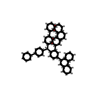 c1ccc(-c2ccc(N(c3ccc(-c4ccccc4)cc3)c3ccc(-c4cc5ccccc5c5ccccc45)cc3-c3ccc4c(ccc5ccccc54)c3)cc2)cc1